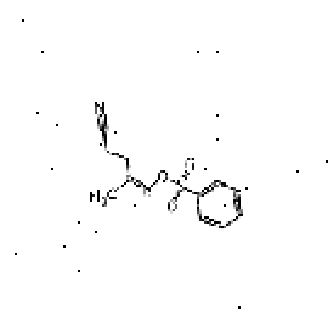 CC(CCC#N)=NOS(=O)(=O)c1ccccc1